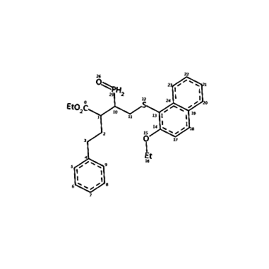 CCOC(=O)C(CCc1ccccc1)C(CSc1c(OCC)ccc2ccccc12)[PH2]=O